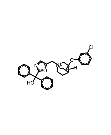 OC(c1ccccc1)(c1ccccc1)c1ncc(C[N+]23CCC(CC2)[C@@H](Oc2cccc(Cl)c2)C3)o1